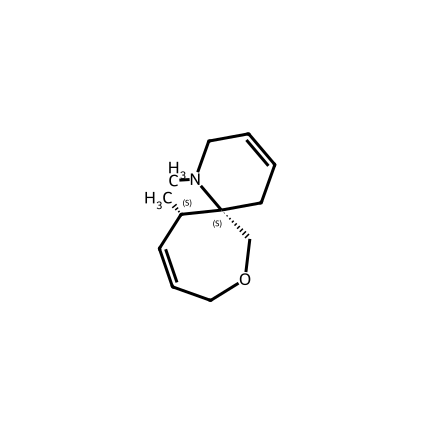 C[C@H]1C=CCOC[C@]12CC=CCN2C